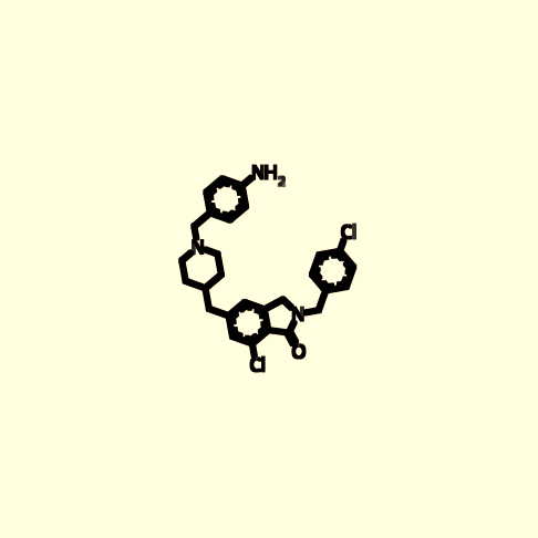 Nc1ccc(CN2CCC(Cc3cc(Cl)c4c(c3)CN(Cc3ccc(Cl)cc3)C4=O)CC2)cc1